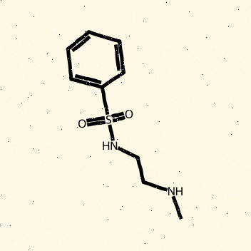 CNCCNS(=O)(=O)c1cc[c]cc1